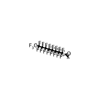 FC(F)(F)C(F)(F)C(F)(F)C(F)(F)C(F)(F)C(F)(F)C(F)(F)C(F)(F)C(F)(F)[C@H]1CO1